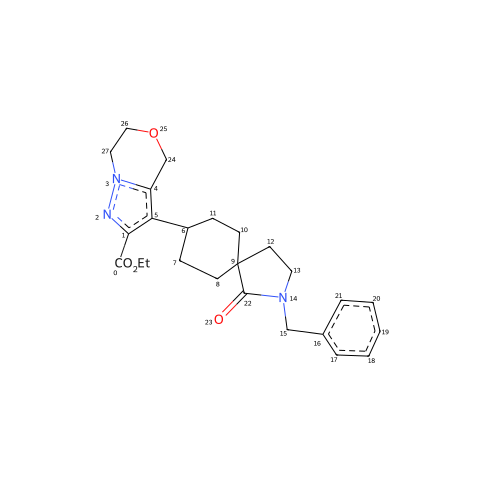 CCOC(=O)c1nn2c(c1C1CCC3(CC1)CCN(Cc1ccccc1)C3=O)COCC2